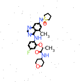 Cc1cc(N=S2(=O)CCCC2)cc2ncnc(Nc3ccc(F)cc3O[C@H](C)C(=O)NC3CCOCC3)c12